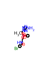 CC(Cn1cnc2c(N)ncnc21)OCP(=O)(OCCCNC(=O)c1ccc(Br)cc1)Oc1ccccc1